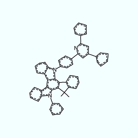 CC1(C)c2ccccc2-c2c1c1c(c3ccccc3n1-c1ccccc1)c1c3ccccc3n(-c3ccc(-c4cc(-c5ccccc5)cc(-c5ccccc5)n4)cc3)c21